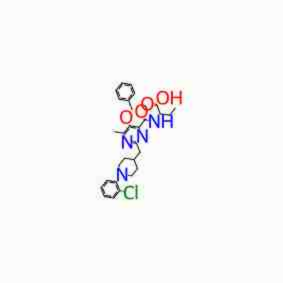 CCC(NC(=O)c1nc(CC2CCN(c3ccccc3Cl)CC2)nc(C)c1OCc1ccccc1)C(=O)O